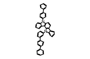 c1ccc(-c2ccc(-c3cccc(-n4c5ccccc5c5ccc6c(c7ccccc7n6-c6ccc(-c7ccccc7)cc6)c54)c3)cc2)cc1